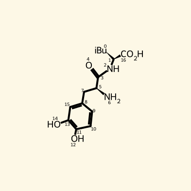 CC[C@H](C)[C@H](NC(=O)[C@@H](N)Cc1ccc(O)c(O)c1)C(=O)O